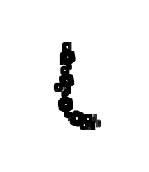 CC1(O)CCN(Cc2ccc(CCn3ccc(OCc4ccc(Cl)cn4)cc3=O)cc2)CC1